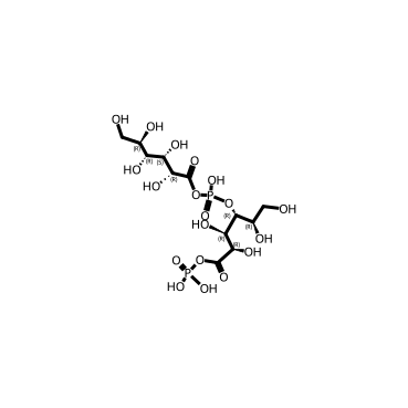 O=C(OP(=O)(O)O[C@@H]([C@H](O)[C@@H](O)C(=O)OP(=O)(O)O)[C@H](O)CO)[C@H](O)[C@@H](O)[C@H](O)[C@H](O)CO